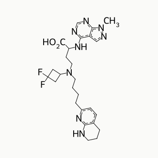 Cn1ncc2c(NC(CCN(CCCCc3ccc4c(n3)NCCC4)C3CC(F)(F)C3)C(=O)O)ncnc21